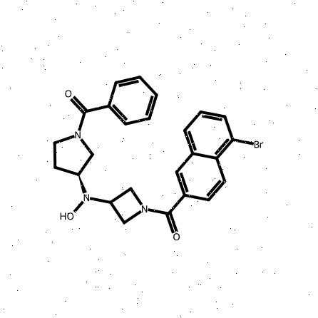 O=C(c1ccc2c(Br)cccc2c1)N1CC(N(O)[C@H]2CCN(C(=O)c3ccccc3)C2)C1